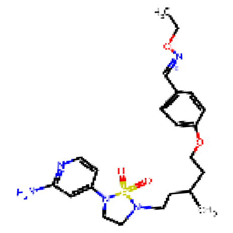 CCO/N=C/c1ccc(OCCC(C)CCN2CCN(c3ccnc(N)c3)S2(=O)=O)cc1